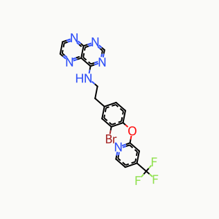 FC(F)(F)c1ccnc(Oc2ccc(CCNc3ncnc4nccnc34)cc2Br)c1